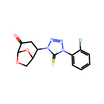 O=C1CC(n2nnn(-c3ccccc3Cl)c2=S)C2COC1O2